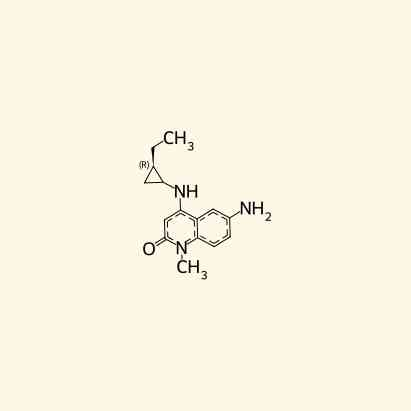 CC[C@@H]1CC1Nc1cc(=O)n(C)c2ccc(N)cc12